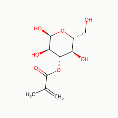 C=C(C)C(=O)O[C@@H]1[C@@H](O)[C@@H](O)O[C@H](CO)[C@H]1O